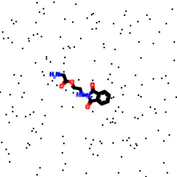 NCC(=O)OCCNN1C(=O)c2ccccc2C1=O